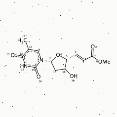 COC(=O)C=C[C@H]1O[C@@H](n2cc(C)c(=O)[nH]c2=O)CC1O